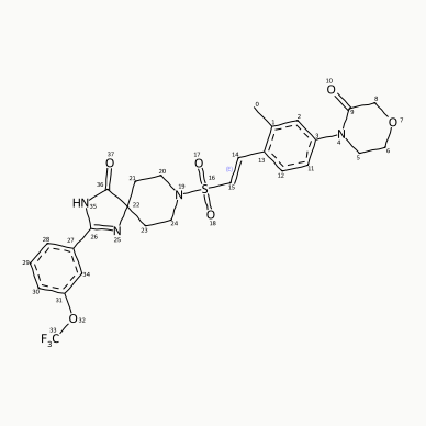 Cc1cc(N2CCOCC2=O)ccc1/C=C/S(=O)(=O)N1CCC2(CC1)N=C(c1cccc(OC(F)(F)F)c1)NC2=O